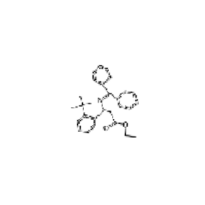 CCOC(=O)CC(N=C(c1ccccc1)c1ccccc1)c1ccccc1C(C)(C)C